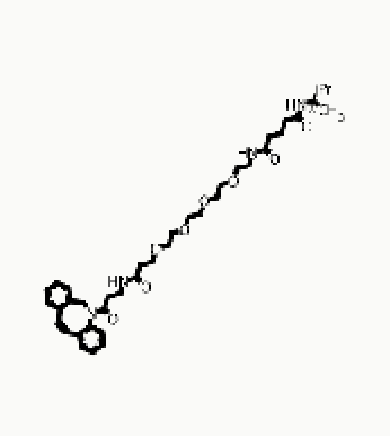 CC(C)[C@@H](C)NC(=O)CCCC(=O)NCCOCCOCCOCCOCCC(=O)NCCC(=O)N1Cc2ccccc2C#Cc2ccccc21